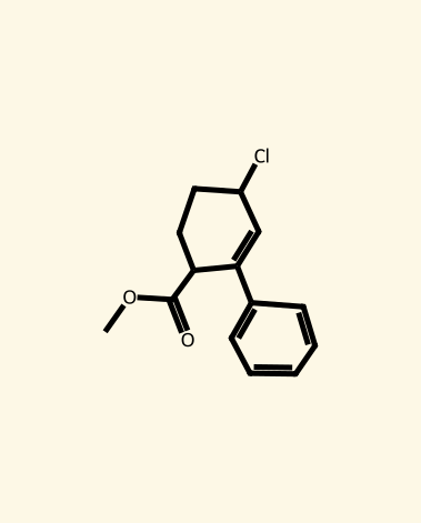 COC(=O)C1CCC(Cl)C=C1c1ccccc1